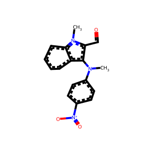 CN(c1ccc([N+](=O)[O-])cc1)c1c(C=O)n(C)c2ccccc12